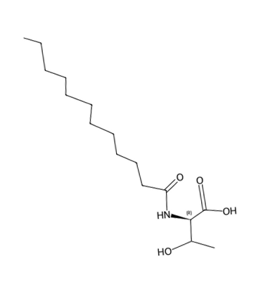 CCCCCCCCCCCC(=O)N[C@@H](C(=O)O)C(C)O